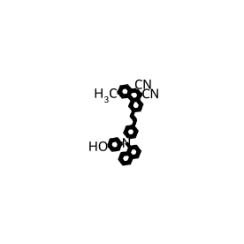 Cc1ccc2c(C#N)c(C#N)c3ccc(/C=C/c4ccc(N(c5ccc(O)cc5)c5cccc6ccccc56)cc4)cc3c2c1